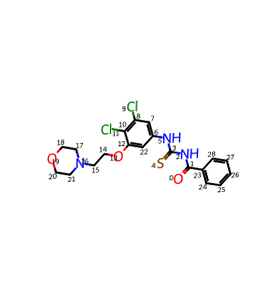 O=C(NC(=S)Nc1cc(Cl)c(Cl)c(OCCN2CCOCC2)c1)c1ccccc1